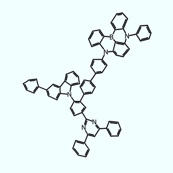 c1ccc(-c2ccc3c(c2)c2ccccc2n3-c2ccc(-c3nc(-c4ccccc4)cc(-c4ccccc4)n3)cc2-c2ccc(-c3ccc(N4c5ccccc5B5c6ccccc6N(c6ccccc6)c6cccc4c65)cc3)cc2)cc1